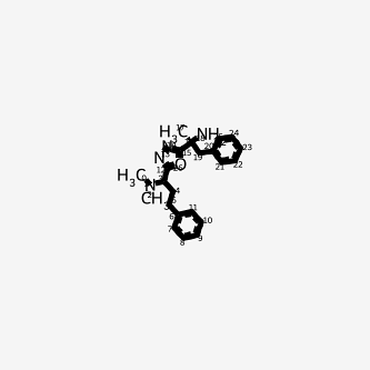 CN(C)C(CCc1ccccc1)c1nnc([C@](C)(N)Cc2ccccc2)o1